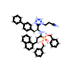 N#CCCn1nnnc1[C@H](Cc1ccc(-c2ccccc2)cc1)NC(CCc1cccc2ccccc12)P(=O)(OCc1ccccc1)OCc1ccccc1